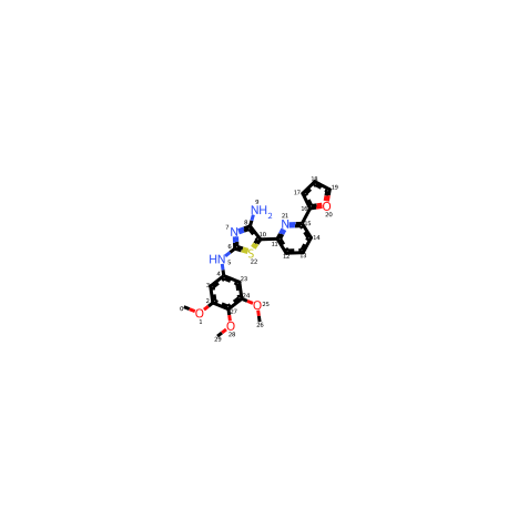 COc1cc(Nc2nc(N)c(-c3cccc(-c4ccco4)n3)s2)cc(OC)c1OC